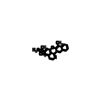 Cc1c2c(cc3ccccc13)-c1nccc3c[c]([Ge]([CH3])([CH3])[CH3])cc(c13)O2